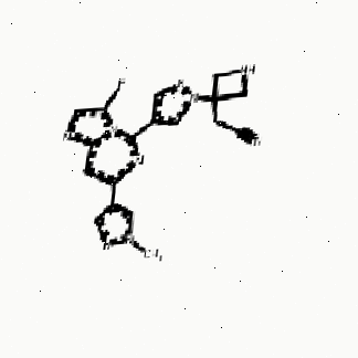 Cn1cc(-c2cc3ncc(F)n3c(-c3cnn(C4(CC#N)CNC4)c3)n2)cn1